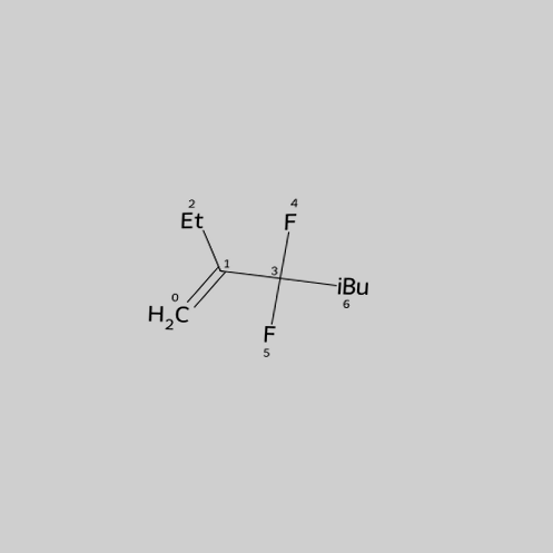 C=C(CC)C(F)(F)C(C)CC